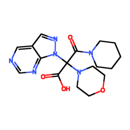 O=C(O)C(C(=O)N1CCCCC1)(N1CCOCC1)n1ncc2cncnc21